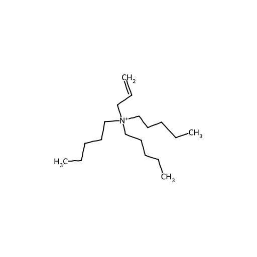 C=CC[N+](CCCCC)(CCCCC)CCCCC